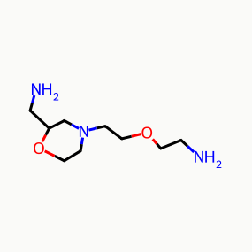 NCCOCCN1CCOC(CN)C1